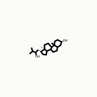 CC(C)C(O)C[C@H]1CCC2C3CCC4C[C@@H](O)CCC4(C)C3CC[C@@]21C